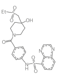 CCS(=O)(=O)CC1(O)CCN(C(=O)c2ccc(NS(=O)(=O)c3cccc4nccnc34)cc2)CC1